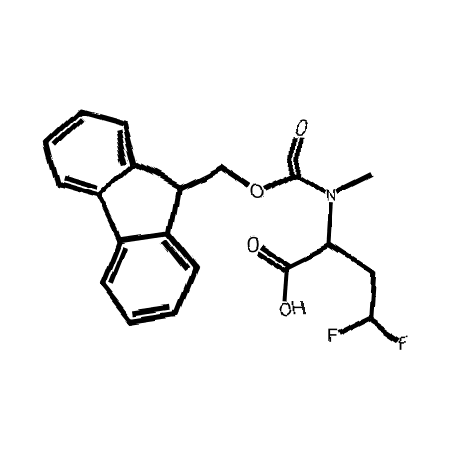 CN(C(=O)OCC1c2ccccc2-c2ccccc21)C(CC(F)F)C(=O)O